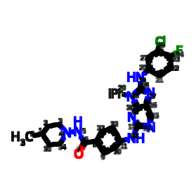 CC1CCN(NC(=O)c2ccc(Nc3ncc4nc(Nc5ccc(F)c(Cl)c5)n(C(C)C)c4n3)cc2)CC1